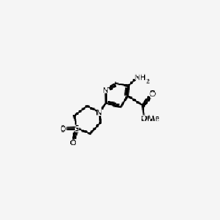 COC(=O)c1cc(N2CCS(=O)(=O)CC2)ncc1N